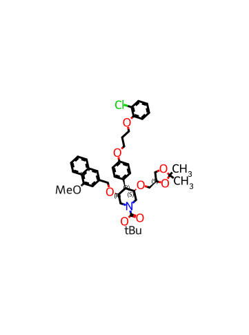 COc1cc(CO[C@H]2CN(C(=O)OC(C)(C)C)C[C@@H](OC[C@H]3COC(C)(C)O3)[C@@H]2c2ccc(OCCCOc3ccccc3Cl)cc2)cc2ccccc12